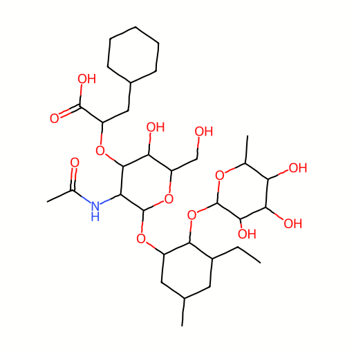 CCC1CC(C)CC(OC2OC(CO)C(O)C(OC(CC3CCCCC3)C(=O)O)C2NC(C)=O)C1OC1OC(C)C(O)C(O)C1O